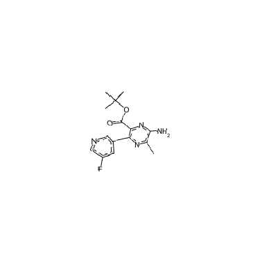 Cc1nc(-c2cncc(F)c2)c(C(=O)OC(C)(C)C)nc1N